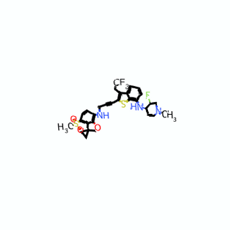 CN1CC[C@@H](Nc2cccc3c(CC(F)(F)F)c(C#CCNc4ccc(S(C)(=O)=O)c5c4OCC54CC4)sc23)[C@@H](F)C1